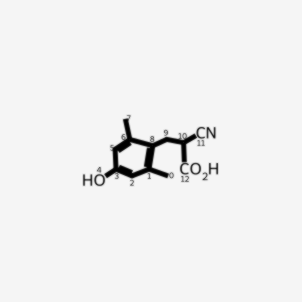 Cc1cc(O)cc(C)c1CC(C#N)C(=O)O